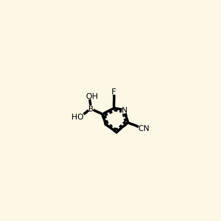 N#Cc1ccc(B(O)O)c(F)n1